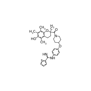 Cc1c(C)c2c(c(C)c1O)CCC(C)(C(=O)N1CCC(Oc3ccc(NC(=N)c4cccs4)cc3)CC1)O2